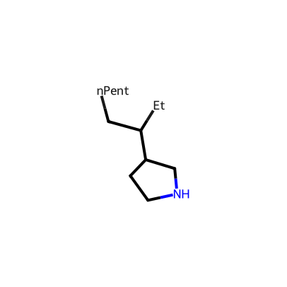 CCCCCCC(CC)C1CCNC1